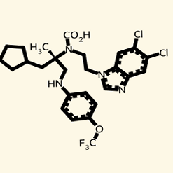 C[C@@](CNc1ccc(OC(F)(F)F)cc1)(CC1CCCC1)N(CCn1cnc2cc(Cl)c(Cl)cc21)C(=O)O